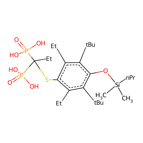 CCC[Si](C)(C)Oc1c(C(C)(C)C)c(CC)c(SC(CC)(P(=O)(O)O)P(=O)(O)O)c(CC)c1C(C)(C)C